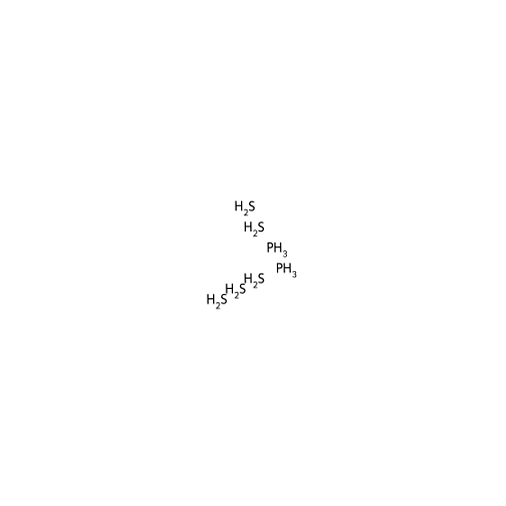 P.P.S.S.S.S.S